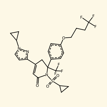 O=C1C=C(c2ccn(C3CC3)n2)CC(c2ccc(OCCCC(F)(F)F)cc2)(C(F)(F)F)N1S(=O)(=O)C1CC1